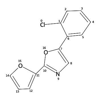 Clc1ccccc1-c1cnc(-c2ccco2)o1